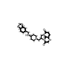 O=c1ccc2ncc(=O)n3c2n1CC3CN1CCC(NCc2ccc3nsnc3c2)CC1